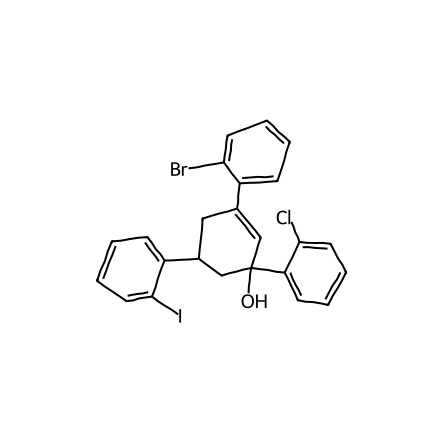 OC1(c2ccccc2Cl)C=C(c2ccccc2Br)CC(c2ccccc2I)C1